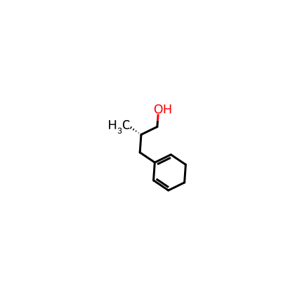 C[C@H](CO)CC1=CCCC=C1